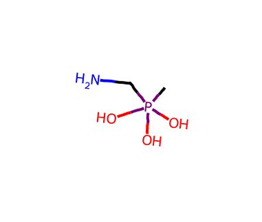 CP(O)(O)(O)CN